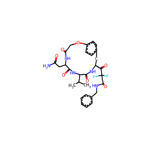 CC(C)C1NC(=O)C(CC(N)=O)NC(=O)COc2ccc(cc2)CC(C(=O)C(F)(F)C(=O)NCc2ccccc2)NC1=O